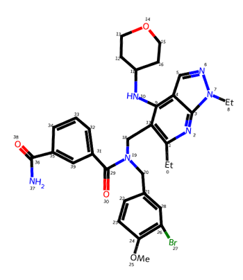 CCc1nc2c(cnn2CC)c(NC2CCOCC2)c1CN(Cc1ccc(OC)c(Br)c1)C(=O)c1cccc(C(N)=O)c1